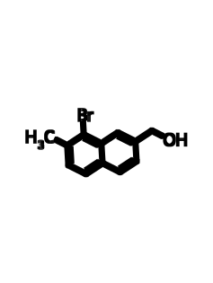 Cc1ccc2ccc(CO)cc2c1Br